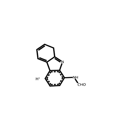 O=CNc1cccc2c1N=C1CC=CC=C12.[H+]